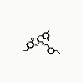 CCc1cnc(N[C@@H](Cc2cc(F)cc(F)c2)[C@H](O)CNCc2cccc(OC)c2)nc1